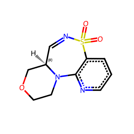 O=S1(=O)N=C[C@@H]2COCCN2c2ncccc21